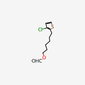 O=[C]OCCCCCCc1sccc1Cl